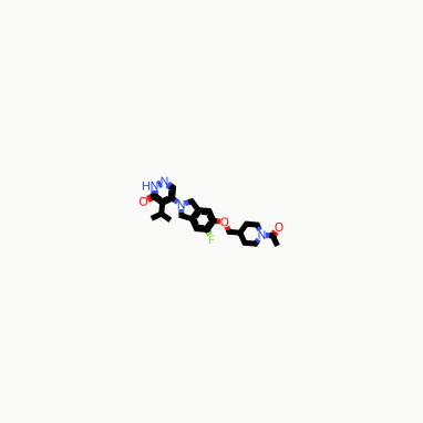 CC(=O)N1CCC(COc2cc3c(cc2F)CN(c2cn[nH]c(=O)c2C(C)C)C3)CC1